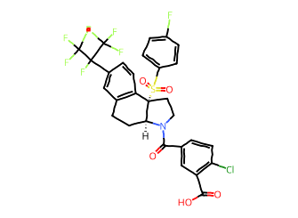 O=C(O)c1cc(C(=O)N2CC[C@]3(S(=O)(=O)c4ccc(F)cc4)c4ccc(C(F)(C(F)(F)F)C(F)(F)F)cc4CC[C@H]23)ccc1Cl